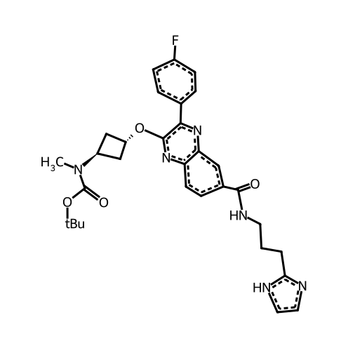 CN(C(=O)OC(C)(C)C)[C@H]1C[C@H](Oc2nc3ccc(C(=O)NCCCc4ncc[nH]4)cc3nc2-c2ccc(F)cc2)C1